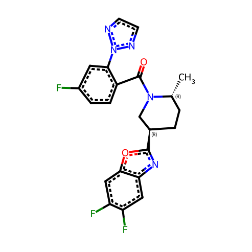 C[C@@H]1CC[C@@H](c2nc3cc(F)c(F)cc3o2)CN1C(=O)c1ccc(F)cc1-n1nccn1